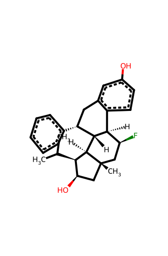 CC(C)[C@H]1[C@H]2[C@H]3[C@@H](c4ccc(O)cc4C[C@H]3c3ccccc3)[C@@H](F)C[C@]2(C)C[C@H]1O